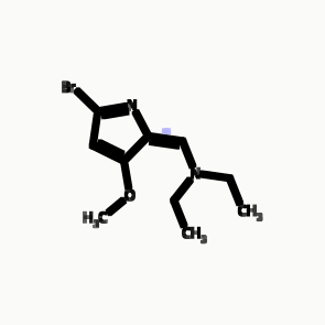 CCN(/C=C1/N=C(Br)C=C1OC)CC